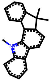 Cn1c2ccccc2c2ccc3c(c21)-c1ccccc1C3(C)C